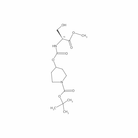 COC(=O)[C@H](CO)NC(=O)OC1CCN(C(=O)OC(C)(C)C)CC1